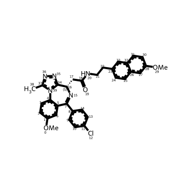 COc1ccc2c(c1)C(c1ccc(Cl)cc1)=N[C@@H](CC(=O)NCCc1ccc3cc(OC)ccc3c1)c1nnc(C)n1-2